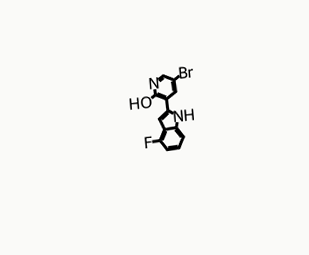 Oc1ncc(Br)cc1-c1cc2c(F)cccc2[nH]1